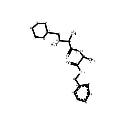 CC(NC(=O)C(O)[C@H](N)CC1CCCCC1)C(=O)OCc1ccccc1